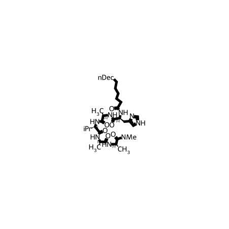 CCCCCCCCCCCCCCCC(=O)N[C@@H](Cc1c[nH]cn1)C(=O)N[C@@H](C)C(=O)N[C@H](C(=O)N[C@@H](C)C(=O)N[C@@H](C)C(=O)NC)C(C)C